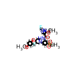 COc1ccc(OC2CCN(c3ccc(S(C)(=O)=O)cc3NC(=O)c3cn(CF)nc3OC)CC2)c(F)c1